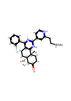 CC(=O)NCCc1cc(-c2nc(-c3ccccc3F)c3c(n2)[C@]2(C)CCC(=O)[C@H](C)[C@H]2CC3)ccn1